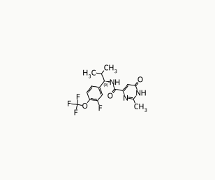 Cc1nc(C(=O)N[C@@H](c2ccc(OC(F)(F)F)c(F)c2)C(C)C)cc(=O)[nH]1